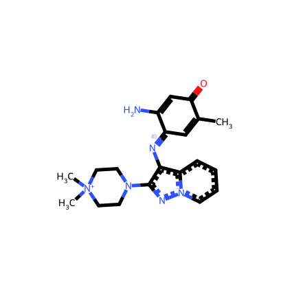 CC1=C/C(=N\c2c(N3CC[N+](C)(C)CC3)nn3ccccc23)C(N)=CC1=O